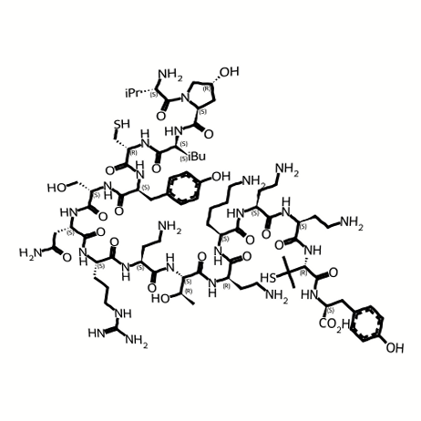 CC[C@H](C)[C@H](NC(=O)[C@@H]1C[C@@H](O)CN1C(=O)[C@@H](N)C(C)C)C(=O)N[C@@H](CS)C(=O)N[C@@H](Cc1ccc(O)cc1)C(=O)N[C@@H](CO)C(=O)N[C@@H](CC(N)=O)C(=O)N[C@@H](CCCNC(=N)N)C(=O)N[C@@H](CCN)C(=O)N[C@H](C(=O)N[C@H](CCN)C(=O)N[C@@H](CCCCN)C(=O)N[C@@H](CCN)C(=O)N[C@@H](CCN)C(=O)N[C@H](C(=O)N[C@@H](Cc1ccc(O)cc1)C(=O)O)C(C)(C)S)[C@@H](C)O